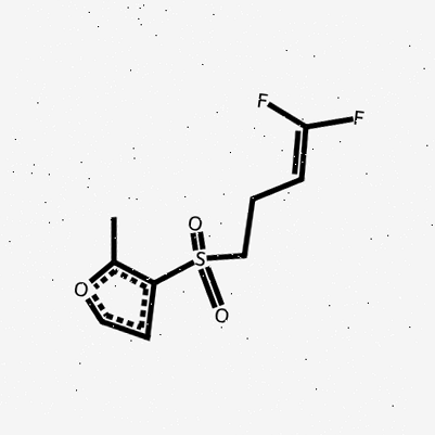 Cc1occc1S(=O)(=O)CCC=C(F)F